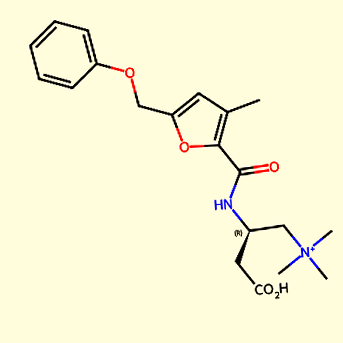 Cc1cc(COc2ccccc2)oc1C(=O)N[C@H](CC(=O)O)C[N+](C)(C)C